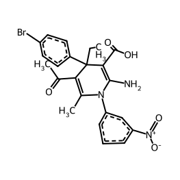 CCC1(c2ccc(Br)cc2)C(C(C)=O)=C(C)N(c2cccc([N+](=O)[O-])c2)C(N)=C1C(=O)O